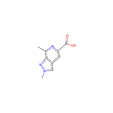 Cc1nc(C(=O)O)cc2cn(C)nc12